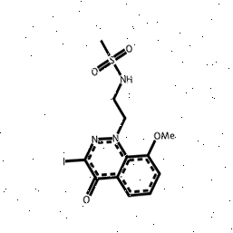 COc1cccc2c(=O)c(I)nn(CCNS(C)(=O)=O)c12